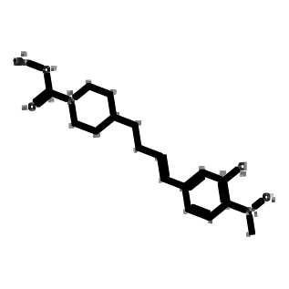 C[S+]([O-])c1ccc(/C=C/CCC2CCN(C(=O)OC(C)(C)C)CC2)cc1Cl